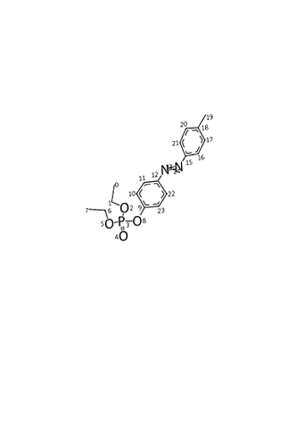 CCOP(=O)(OCC)Oc1ccc(N=Nc2ccc(C)cc2)cc1